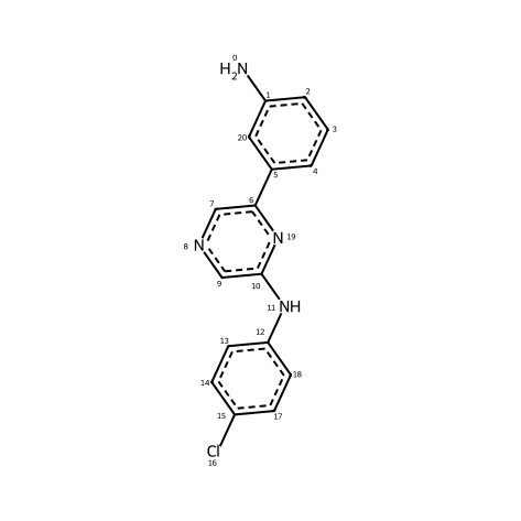 Nc1cccc(-c2cncc(Nc3ccc(Cl)cc3)n2)c1